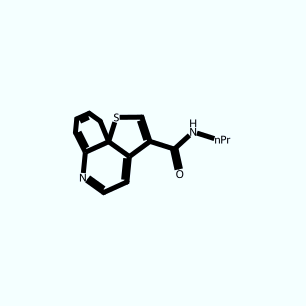 CCCNC(=O)C1=CSC23CC=CC=C2N=CC=C13